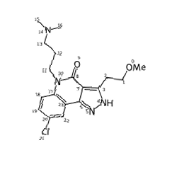 COCCc1[nH]nc2c1c(=O)n(CCCN(C)C)c1ccc(Cl)cc21